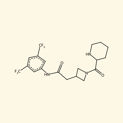 O=C(CC1CN(C(=O)C2CCCCN2)C1)Nc1cc(C(F)(F)F)cc(C(F)(F)F)c1